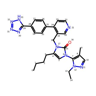 CCCCc1cn(-c2c(C)cnn2CC)c(=O)n1Cc1cnccc1-c1ccc(-c2nnn[nH]2)cc1